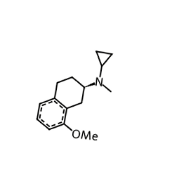 COc1cccc2c1C[C@H](N(C)C1CC1)CC2